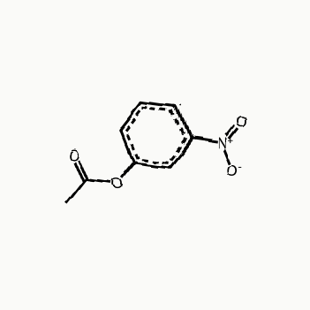 CC(=O)Oc1cc[c]c([N+](=O)[O-])c1